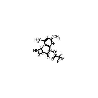 Cc1cc(C)nc(N(OC(=O)C(F)(F)F)C(=O)C2CNC2)c1